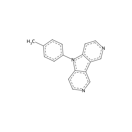 Cc1ccc(-n2c3ccncc3c3cnccc32)cc1